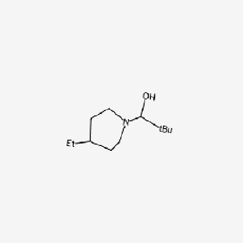 CCC1CCN(C(O)C(C)(C)C)CC1